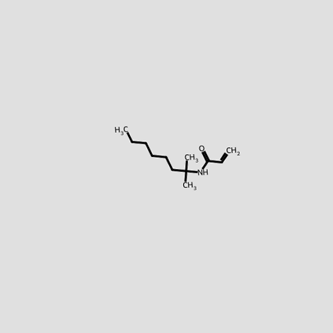 C=CC(=O)NC(C)(C)CCCCCC